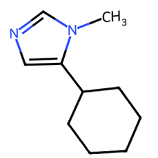 Cn1cncc1C1CCCCC1